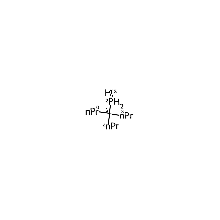 CCCC(P)(CCC)CCC.I